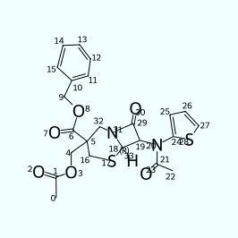 CC(=O)OCC1(C(=O)OCc2ccccc2)CS[C@@H]2C(N(C(C)=O)c3cccs3)C(=O)N2C1